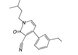 CCc1cccc(-c2ccn(CCC(C)C)c(=O)c2C#N)c1